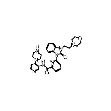 O=C(Nc1cnccc1N1CCNCC1)c1cccc(-n2c(=O)n(CCN3CCOCC3)c3ccccc32)n1